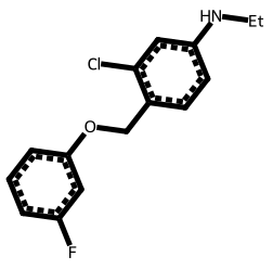 CCNc1ccc(COc2cccc(F)c2)c(Cl)c1